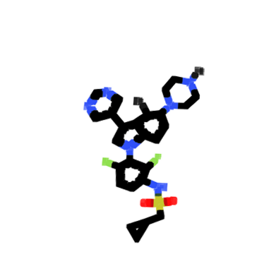 CCc1c(N2CCN(CC)CC2)ccc2c1c(-c1cncnc1)cn2-c1c(F)ccc(NS(=O)(=O)CC2CC2)c1F